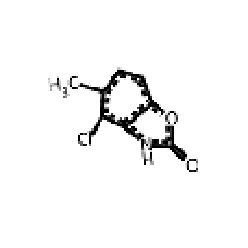 Cc1ccc2oc(=O)[nH]c2c1Cl